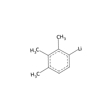 [Li][c]1ccc(C)c(C)c1C